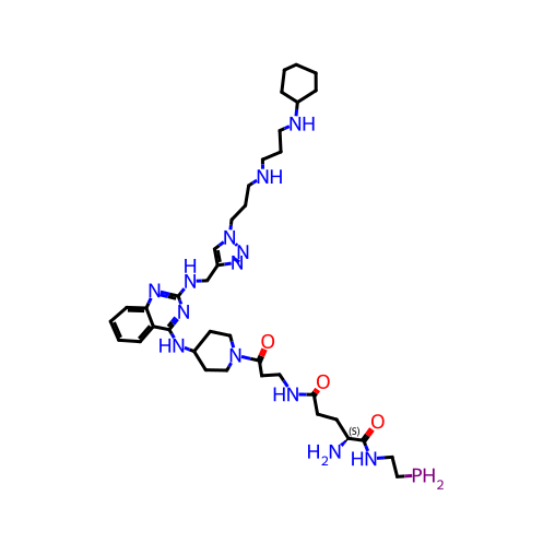 N[C@@H](CCC(=O)NCCC(=O)N1CCC(Nc2nc(NCc3cn(CCCNCCCNC4CCCCC4)nn3)nc3ccccc23)CC1)C(=O)NCCP